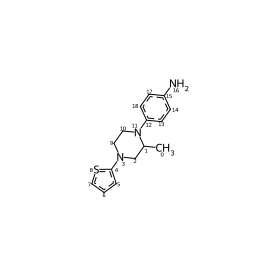 CC1CN(c2cccs2)CCN1c1ccc(N)cc1